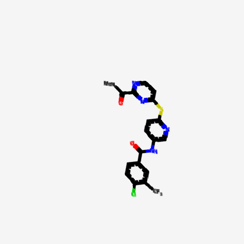 CNC(=O)c1nccc(Sc2ccc(NC(=O)c3ccc(Cl)c(C(F)(F)F)c3)cn2)n1